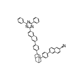 N#Cc1ccc2cc(-c3ccc(C45CC6CC(C4)CC(c4ccc(-c7ccc8cc(-c9nc(-c%10ccccc%10)nc(-c%10ccccc%10)n9)ccc8c7)cc4)(C6)C5)cc3)ccc2c1